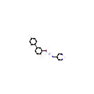 O=C(NN=Cc1ccncc1)c1cc(-c2ccc(F)cc2F)ccc1O